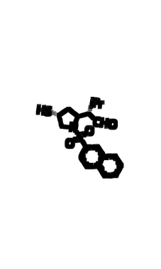 CC(C)[C@H](C=O)C1C[C@@H](S)CN1S(=O)(=O)c1ccc2ccccc2c1